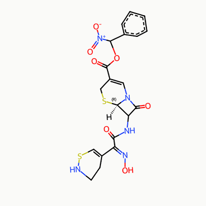 O=C(NC1C(=O)N2C=C(C(=O)OC(c3ccccc3)[N+](=O)[O-])CS[C@H]12)C(=NO)C1=CSNCC1